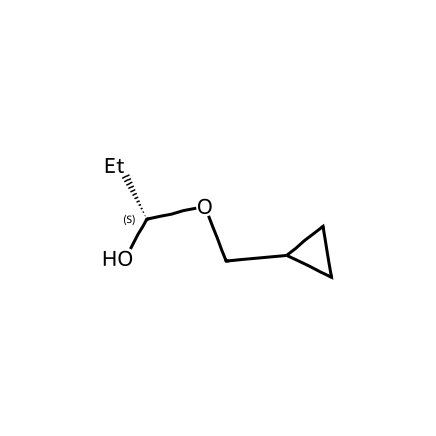 CC[C@@H](O)OCC1CC1